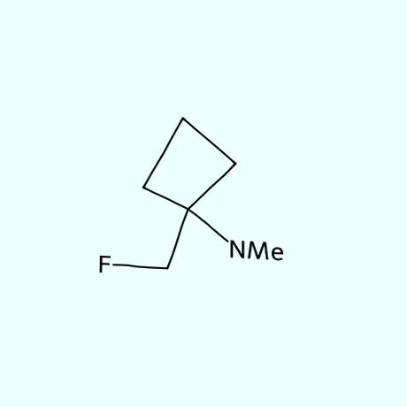 CNC1(CF)CCC1